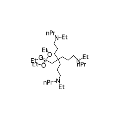 CCCN(CC)CCCC(CCCN(CC)CCC)(CCCN(CC)CCC)C[Si](OCC)(OCC)OCC